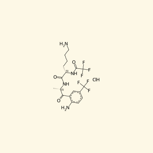 C[C@H](NC(=O)[C@H](CCCCN)NC(=O)C(F)(F)F)C(=O)c1cc(C(F)(F)F)ccc1N.Cl